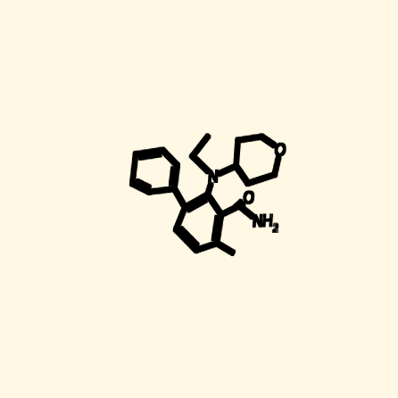 CCN(c1c(-c2ccccc2)ccc(C)c1C(N)=O)C1CCOCC1